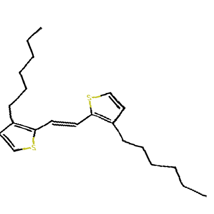 CCCCCCc1ccsc1C=Cc1sccc1CCCCCC